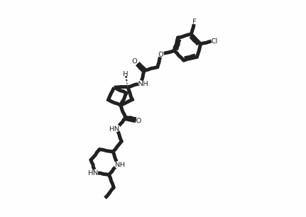 CCC1NCCC(CNC(=O)C23CC(C2)[C@@H](NC(=O)COc2ccc(Cl)c(F)c2)C3)N1